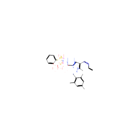 C=C/C=C\c1cc(C(=O)NS(=O)(=O)c2ccccc2OC)n(Cc2c(C)cc(C)cc2C)c1C